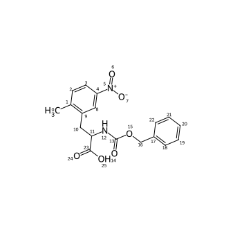 Cc1ccc([N+](=O)[O-])cc1CC(NC(=O)OCc1ccccc1)C(=O)O